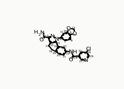 NC(=O)c1nn(-c2ccc3c(c2)OCO3)c2c1CCc1ccc(NC(=O)c3cncc(Cl)c3)cc1-2